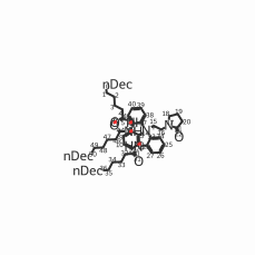 CCCCCCCCCCCCCCC(=O)Nc1ccccc1[N+](CCN1CCCC1=O)(c1ccccc1NC(=O)CCCCCCCCCCCCCC)c1ccccc1NC(=O)CCCCCCCCCCCCCC